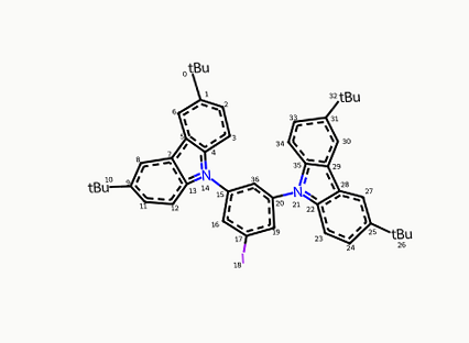 CC(C)(C)c1ccc2c(c1)c1cc(C(C)(C)C)ccc1n2-c1cc(I)cc(-n2c3ccc(C(C)(C)C)cc3c3cc(C(C)(C)C)ccc32)c1